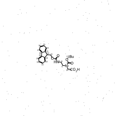 CC(C)(C)OC(=O)N(CCNC(=O)OCC1c2ccccc2-c2ccccc21)CC(=O)O